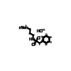 CCCCCCCCCCCCNC(Cl)(Cl)Cc1ccccc1.Cl